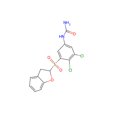 NC(=O)Nc1cc(Cl)c(Cl)c(S(=O)(=O)C2Cc3ccccc3O2)c1